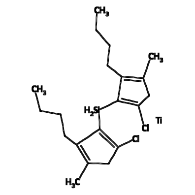 CCCCC1=C(C)CC(Cl)=C1[SiH2]C1=C(Cl)CC(C)=C1CCCC.[Ti]